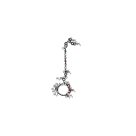 CO[C@H]1C[C@@H]2CC[C@@H](C)[C@@](O)(O2)C(=O)C(=O)N2CCCC[C@H]2C(=O)O[C@H]([C@H](C)C[C@@H]2CC[C@@H](OC(=O)N3CCC(N)(C(=O)NCCOCCOCCOCCOCCOCCOCCC(=O)N4CCc5cc(Cn6nc(-c7ccc8oc(N)nc8c7)c7c(N)ncnc76)ccc5C4)CC3)[C@H](OC)C2)CC[C@H](C)/C=C(\C)[C@@H](O)[C@@H](OC)C(=O)[C@H](C)C[C@H](C)/C=C/C=C/C=C/1C